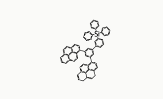 C1=Cc2ccc3c(-c4cc(-c5cccc([Si](c6ccccc6)(c6ccccc6)c6ccccc6)c5)cc(-c5ccc6ccc7cccc8ccc5c6c78)c4)ccc4c3c2C(=CC4)C1